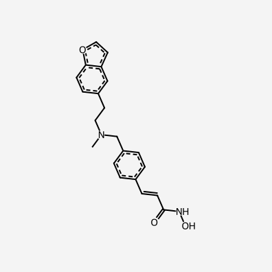 CN(CCc1ccc2occc2c1)Cc1ccc(/C=C/C(=O)NO)cc1